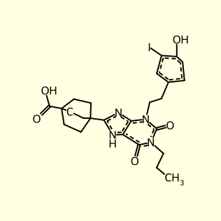 CCCn1c(=O)c2[nH]c(C34CCC(C(=O)O)(CC3)CC4)nc2n(CCc2ccc(O)c(I)c2)c1=O